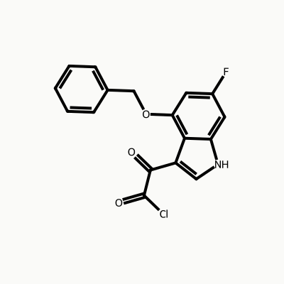 O=C(Cl)C(=O)c1c[nH]c2cc(F)cc(OCc3ccccc3)c12